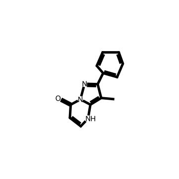 Cc1c(-c2ccccc2)nn2c(=O)cc[nH]c12